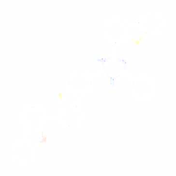 c1ccc(C2N=C(c3cccc4c3sc3ccccc34)NC(c3ccc4sc5c(-c6cccc7c6oc6ccccc67)cccc5c4c3)N2)cc1